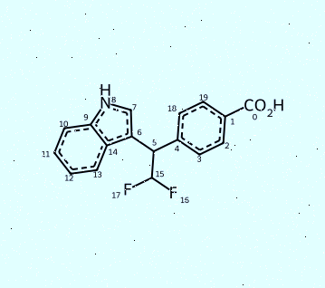 O=C(O)c1ccc(C(c2c[nH]c3ccccc23)C(F)F)cc1